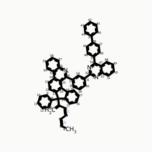 C=C(/C=C\C=C/C)C1(c2ccccc2)c2ccccc2-c2c1ccc1c2c(-c2cccc(-c3nc(-c4ccc(-c5ccccc5)cc4)c4ccccc4n3)c2)nc2ccccc21